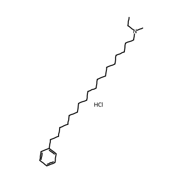 CCN(C)CCCCCCCCCCCCCCCCCCc1ccccc1.Cl